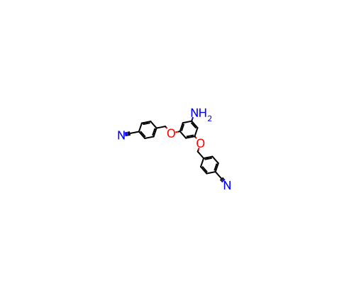 N#Cc1ccc(COc2cc(N)cc(OCc3ccc(C#N)cc3)c2)cc1